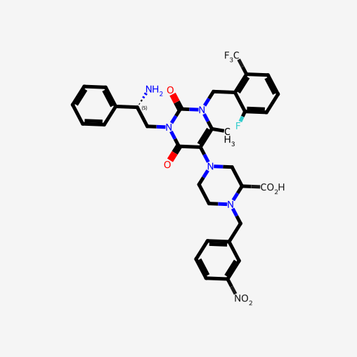 Cc1c(N2CCN(Cc3cccc([N+](=O)[O-])c3)C(C(=O)O)C2)c(=O)n(C[C@@H](N)c2ccccc2)c(=O)n1Cc1c(F)cccc1C(F)(F)F